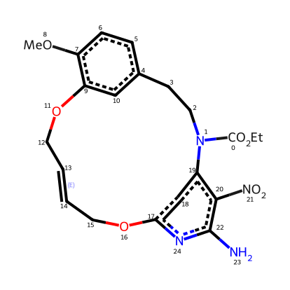 CCOC(=O)N1CCc2ccc(OC)c(c2)OC/C=C/COc2cc1c([N+](=O)[O-])c(N)n2